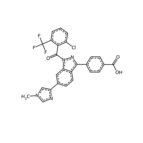 Cn1cnc(-c2ccc3c(-c4ccc(C(=O)O)cc4)nn(C(=O)c4c(Cl)cccc4C(F)(F)F)c3c2)c1